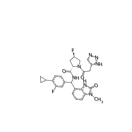 Cn1c(=O)[nH]c2c(C(NC(=O)[C@@H]3C[C@@H](F)CN3C(=O)Cc3cnn[nH]3)c3ccc(C4CC4)c(F)c3)cccc21